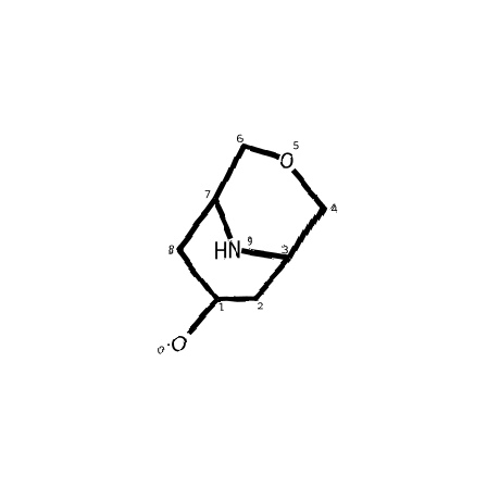 [O]C1CC2COCC(C1)N2